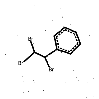 BrC(Br)C(Br)c1ccccc1